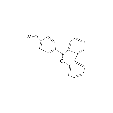 COc1ccc(P2Oc3ccccc3-c3ccccc32)cc1